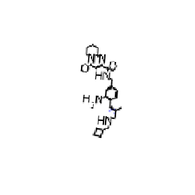 C/C(=C\c1ccc(CNC(=O)c2cc(=O)n3c(n2)CCCC3)cc1N)CNCC1CCC1